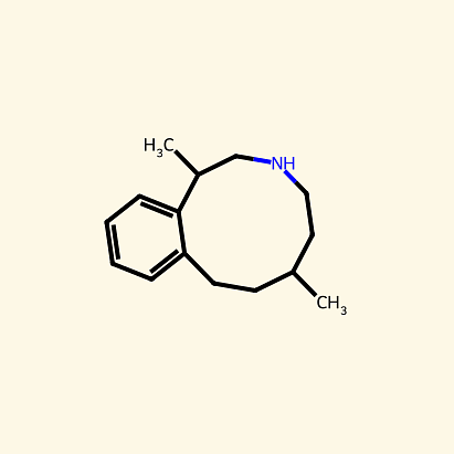 CC1CCNCC(C)c2ccccc2CC1